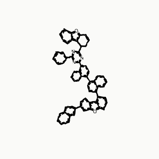 C1=Cc2oc3ccccc3c2C(c2nc(-c3ccccc3)nc(-c3ccc(-c4ccc(-c5cccc6oc7cc(-c8ccc9ccccc9c8)ccc7c56)c5ccccc45)c4ccccc34)n2)C1